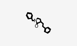 O=C1C(CCc2ccccc2)CCN1Cc1ccccc1